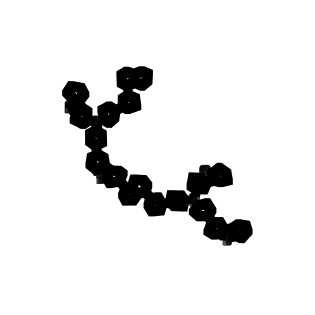 c1cc(-c2ccc(N(c3ccc(-c4ccc5sc6cc(-c7cccc8c(-c9cccc(-c%10ccc(N(c%11ccc(-c%12ccc%13sc%14ccccc%14c%13c%12)cc%11)c%11ccc%12oc%13ccccc%13c%12c%11)cc%10)c9)cccc78)ccc6c5c4)cc3)c3ccc4sc5ccccc5c4c3)cc2)cc(-c2cccc3ccccc23)c1